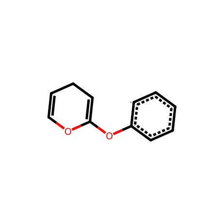 [c]1ccccc1OC1=CCC=CO1